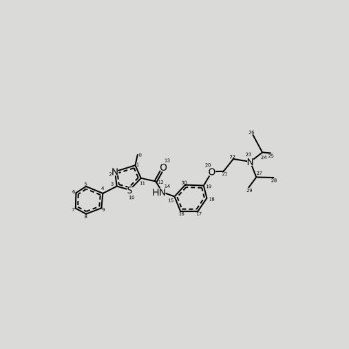 Cc1nc(-c2ccccc2)sc1C(=O)Nc1cccc(OCCN(C(C)C)C(C)C)c1